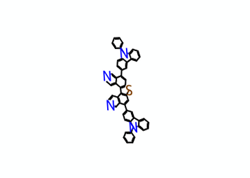 c1ccc(-n2c3ccccc3c3cc(-c4cc5sc6cc(-c7ccc8c(c7)c7ccccc7n8-c7ccccc7)c7cnccc7c6c5c5ccncc45)ccc32)cc1